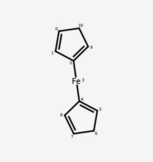 C1=C[C]([Fe][C]2=CCC=C2)=CC1